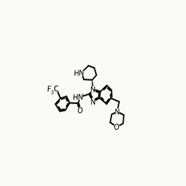 O=C(Nc1nc2cc(CN3CCOCC3)ccc2n1[C@@H]1CCCNC1)c1cccc(C(F)(F)F)c1